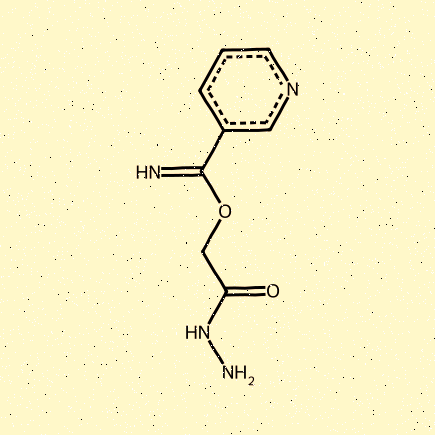 N=C(OCC(=O)NN)c1cccnc1